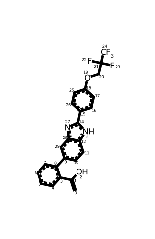 C=C(O)c1ccccc1-c1ccc2[nH]c(-c3ccc(OCC(F)(F)C(F)(F)F)cc3)nc2c1